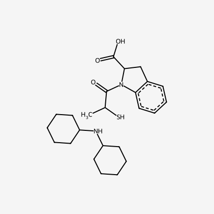 C1CCC(NC2CCCCC2)CC1.CC(S)C(=O)N1c2ccccc2CC1C(=O)O